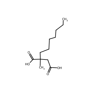 CCCCCCCC(C)(CC(=O)O)C(=O)O